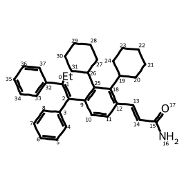 CCC(=C(c1ccccc1)c1ccc(C=CC(N)=O)c(C2CCCCC2)c1C1CCCCC1)c1ccccc1